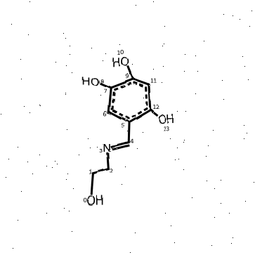 OCCN=Cc1cc(O)c(O)cc1O